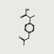 CC(=O)Cc1ccc(C(C)C(=O)O)cc1